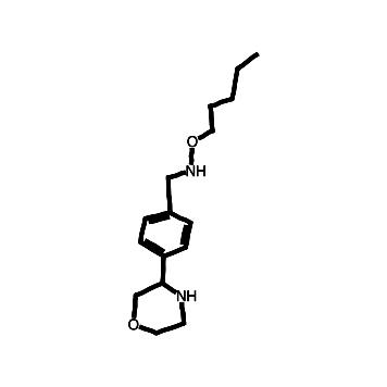 CCCCCONCc1ccc(C2COCCN2)cc1